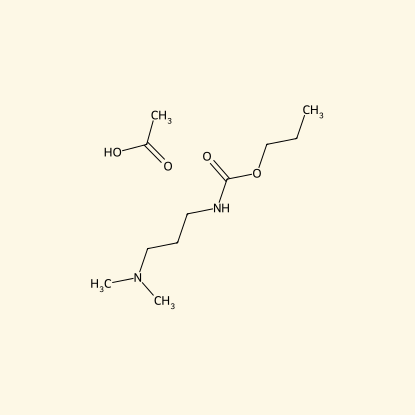 CC(=O)O.CCCOC(=O)NCCCN(C)C